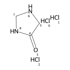 Cl.Cl.Cl.O=C1CNCN1